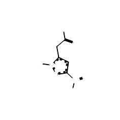 Cn1nc([N+](=O)[O-])cc1CC(=O)O